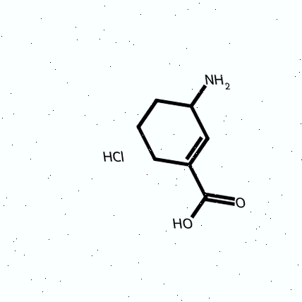 Cl.NC1C=C(C(=O)O)CCC1